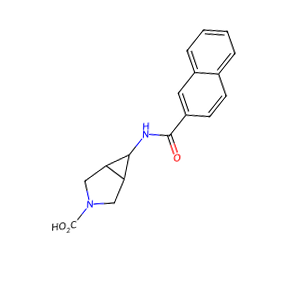 O=C(NC1C2CN(C(=O)O)CC21)c1ccc2ccccc2c1